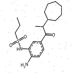 CCCS(=O)(=O)Nc1cc(C(=O)C(C)C2CCCCCC2)ccc1N